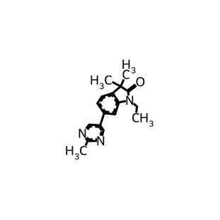 CCN1C(=O)C(C)(C)c2ccc(-c3cnc(C)nc3)cc21